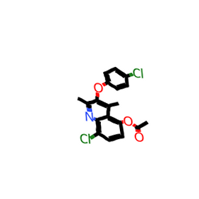 CC(=O)Oc1ccc(Cl)c2nc(C)c(Oc3ccc(Cl)cc3)c(C)c12